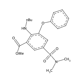 CCCCNc1c(Oc2ccccc2)cc(S(=O)(=O)N(C)C)cc1C(=O)OC